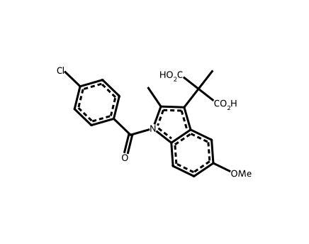 COc1ccc2c(c1)c(C(C)(C(=O)O)C(=O)O)c(C)n2C(=O)c1ccc(Cl)cc1